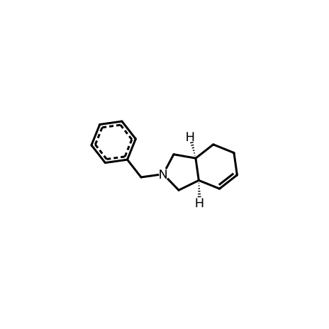 C1=C[C@H]2CN(Cc3ccccc3)C[C@H]2CC1